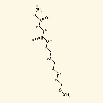 COCCOCCOCCOC(=O)CCC(=O)CN